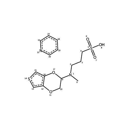 CN(CCCS(=O)(=O)O)C1COc2cscc2O1.c1ccncc1